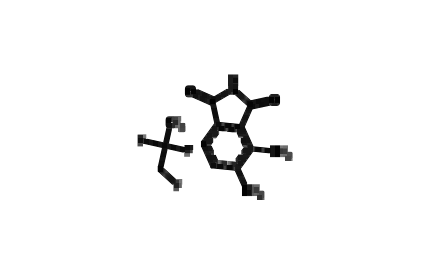 FCC(F)(F)C(F)(F)F.Nc1ccc2c(c1N)C(=O)NC2=O